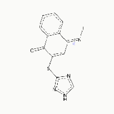 O=C1C(Sc2nc[nH]n2)=C/C(=N/I)c2ccccc21